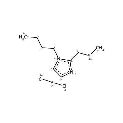 CCCCn1ccnc1CSC.[Cl][Pt][Cl]